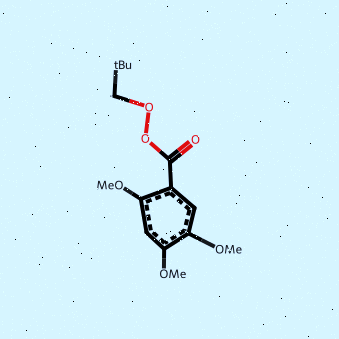 COc1cc(OC)c(C(=O)OO[CH]C(C)(C)C)cc1OC